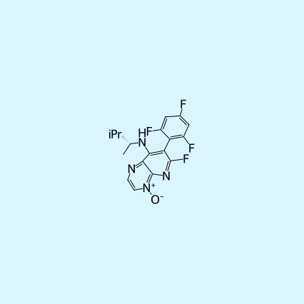 CC(C)[C@@H](C)Nc1c(-c2c(F)cc(F)cc2F)c(F)nc2c1ncc[n+]2[O-]